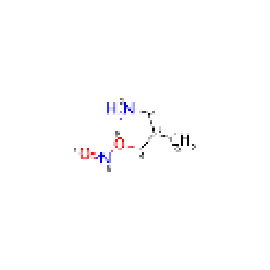 CC(CN)CON=O